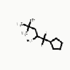 CCCC(C)(C)CC(C)C(I)(I)C1CCCC1